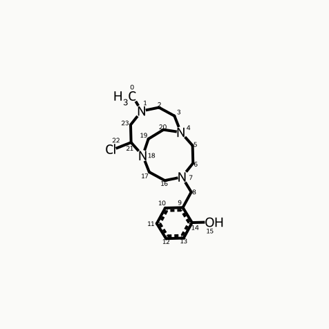 CN1CCN2CCN(Cc3ccccc3O)CCN(CC2)C(Cl)C1